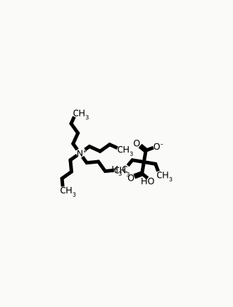 CCC(CC)(C(=O)[O-])C(=O)O.CCCC[N+](CCCC)(CCCC)CCCC